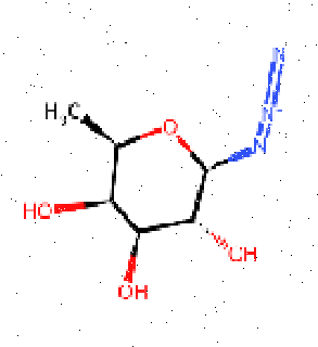 C[C@H]1O[C@@H](N=[N+]=[N-])[C@H](O)[C@@H](O)[C@H]1O